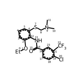 CCOc1cccc(SCN(C)C)c1NC(=O)c1ccc(Cl)c(C(F)(F)F)c1